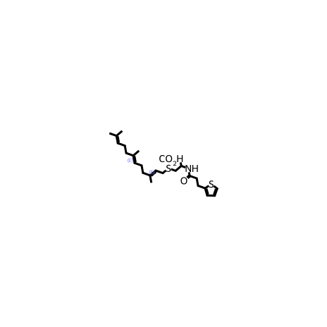 CC(C)=CCC/C(C)=C/CC/C(C)=C/CSCC(NC(=O)CCc1cccs1)C(=O)O